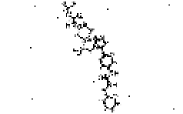 COCCn1c(-c2ccc(NC(=O)NCc3ccccc3)cc2)cnc1[C@H]1CC[C@H](NC(=O)OC(C)C)CC1